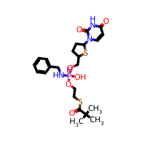 CC(C)(C)C(=O)SCCO[PH](O)(NCc1ccccc1)OCC1CCC(n2ccc(=O)[nH]c2=O)S1